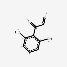 O=CC(=O)c1c(O)cccc1O